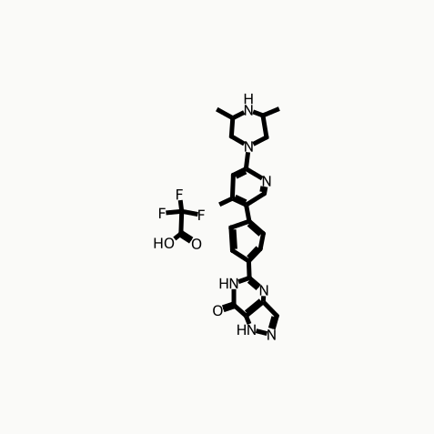 Cc1cc(N2CC(C)NC(C)C2)ncc1-c1ccc(-c2nc3cn[nH]c3c(=O)[nH]2)cc1.O=C(O)C(F)(F)F